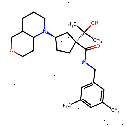 CC(C)(O)[C@]1(C(=O)NCc2cc(C(F)(F)F)cc(C(F)(F)F)c2)CC[C@@H](N2CCCC3COCCC32)C1